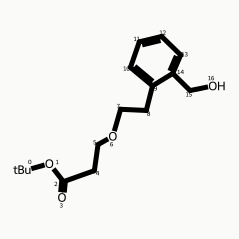 CC(C)(C)OC(=O)CCOCCc1ccccc1CO